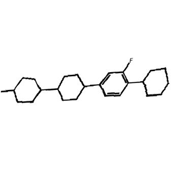 CC1CCC(C2CCC(c3ccc(C4CCCCC4)c(F)c3)CC2)CC1